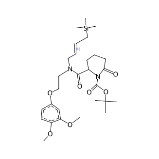 COc1ccc(OCCN(C/C=C/C[Si](C)(C)C)C(=O)C2CCCC(=O)N2C(=O)OC(C)(C)C)cc1OC